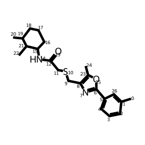 Cc1cccc(-c2nc(CSCC(=O)NC3CCCC(C)C3C)c(C)o2)c1